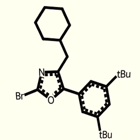 CC(C)(C)c1cc(-c2oc(Br)nc2CC2CCCCC2)cc(C(C)(C)C)c1